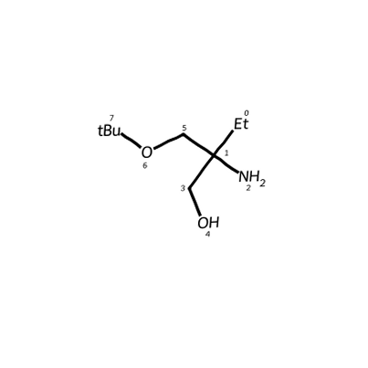 CCC(N)(CO)COC(C)(C)C